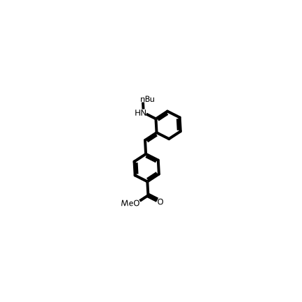 CCCCNC1=CC=CCC1=Cc1ccc(C(=O)OC)cc1